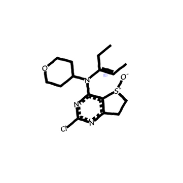 C/C=C(\CC)N(c1nc(Cl)nc2c1[S+]([O-])CC2)C1CCOCC1